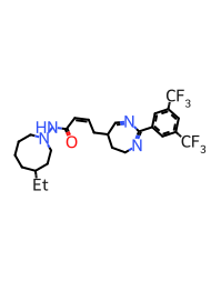 CCC1CCCCN(NC(=O)/C=C\CC2C=NC(c3cc(C(F)(F)F)cc(C(F)(F)F)c3)=NCC2)CC1